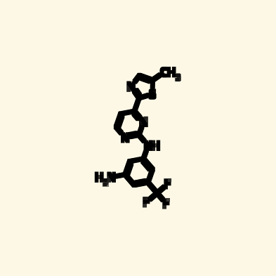 Cc1cnc(-c2ccnc(Nc3cc(N)cc(C(F)(F)F)c3)n2)s1